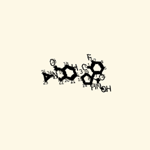 Cc1c(F)cccc1[C@]1(C(=O)NO)CC[C@H](c2ccc3c(c2)CN(C2CC2)C3=O)C1